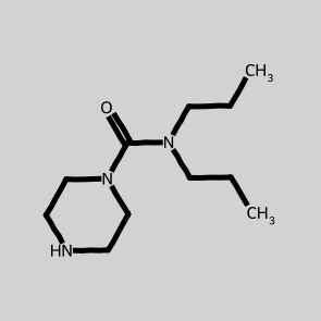 CCCN(CCC)C(=O)N1CCNCC1